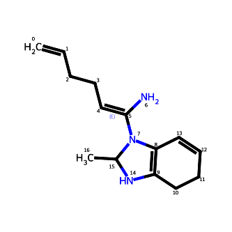 C=CCC/C=C(\N)N1C2=C(CCC=C2)NC1C